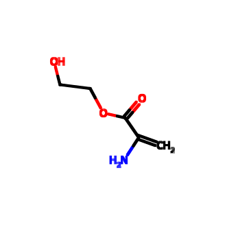 C=C(N)C(=O)OCCO